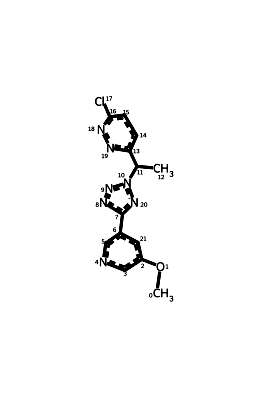 COc1cncc(-c2nnn(C(C)c3ccc(Cl)nn3)n2)c1